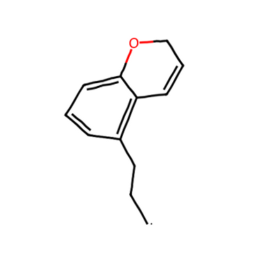 [CH2]CCc1cccc2c1C=CCO2